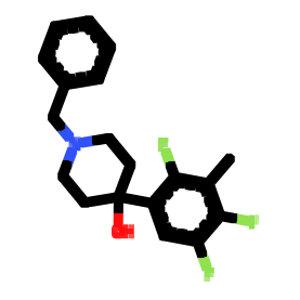 Cc1c(F)c(F)cc(C2(O)CCN(Cc3ccccc3)CC2)c1F